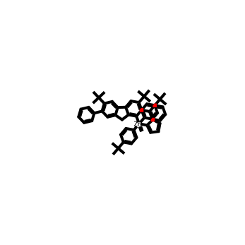 [CH2]=[Zr]([C]1=CC=CC1)([c]1ccc(C(C)(C)C)cc1)([c]1ccc(C(C)(C)C)cc1)[c]1c2c(cc(C(C)(C)C)c1-c1ccccc1)-c1cc(C(C)(C)C)c(-c3ccccc3)cc1C2